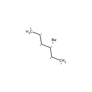 CCCCCC.[Ba]